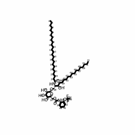 CCCCCCCCCCCCCCCCCCCCCCCCCCN[C@@H](CO[C@@H]1O[C@H](COC(=O)Nc2ccccc2OC(F)(F)F)[C@H](O)[C@H](O)[C@H]1O)[C@H](O)[C@H](O)CCCCCCCCCCCCCC